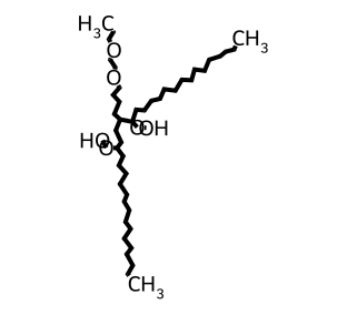 CCCCCCCCCCCCCCCC(CCC(CCCCOCCOCCC)C(CCCCCCCCCCCCCCC)OO)OO